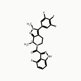 C[C@H]1c2nn(C)c(-c3cc(F)c(F)c(F)c3)c2CCN1C(=O)c1n[nH]c2cccc(F)c12